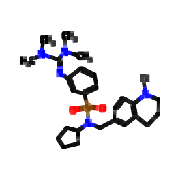 CCN1CCCc2cc(CN(C3CCCC3)S(=O)(=O)c3cccc(N=C(N(C)C)N(C)C)c3)ccc21